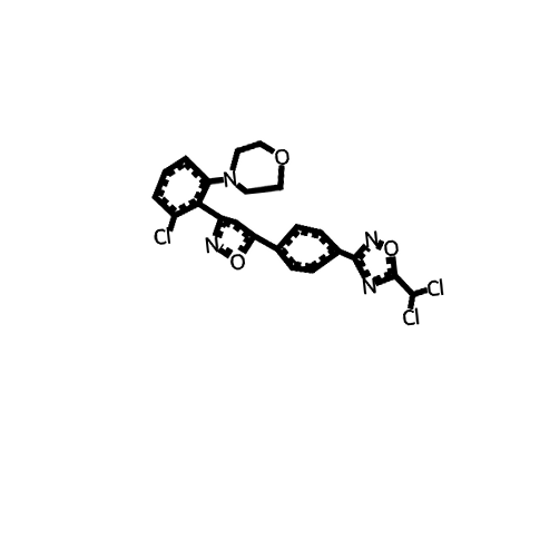 Clc1cccc(N2CCOCC2)c1-c1cc(-c2ccc(-c3noc(C(Cl)Cl)n3)cc2)on1